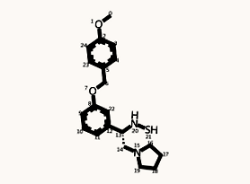 COc1ccc(COc2cccc([C@@H](CN3CCCC3)NS)c2)cc1